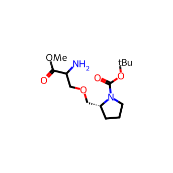 COC(=O)C(N)COC[C@H]1CCCN1C(=O)OC(C)(C)C